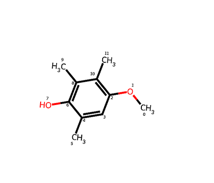 COc1cc(C)c(O)c(C)c1C